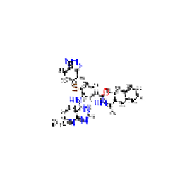 CC(C)c1ccc2c(Nc3cc(C(=O)NC(C)c4ccc5ccccc5c4)ccc3Sc3ccc(N)cc3)ncnc2n1